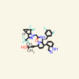 CC(C)(O)C#Cc1ccc(-c2cccc3[nH]ncc23)c([C@H](Cc2cc(F)cc(F)c2)NC(=O)Cn2nc(C(F)(F)F)c3c2C(F)(F)C2C[C@H]32)n1